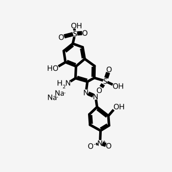 Nc1c(N=Nc2ccc([N+](=O)[O-])cc2O)c(S(=O)(=O)O)cc2cc(S(=O)(=O)O)cc(O)c12.[Na].[Na]